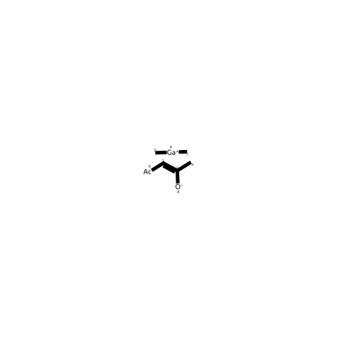 CC(=O)/C=C(/C)[O-].[CH3][Ga+][CH3]